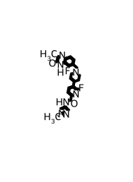 Cc1nc2ccc(CN3CC=C(c4ccc(C(=O)Nc5cnn(C)c5)nc4F)CC3)c(F)c2[nH]c1=O